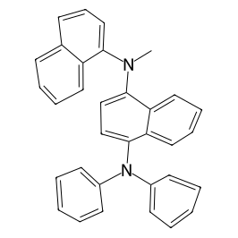 CN(c1cccc2ccccc12)c1ccc(N(c2ccccc2)c2ccccc2)c2ccccc12